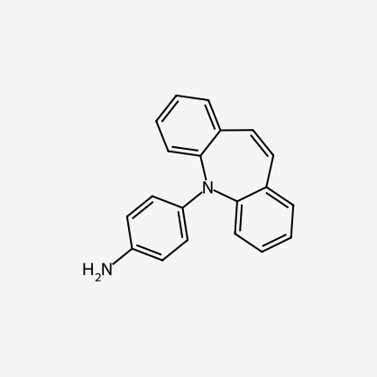 Nc1ccc(N2c3ccccc3C=Cc3ccccc32)cc1